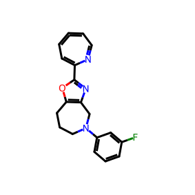 Fc1cccc(N2CCCc3oc(C4=CC=C=CC=N4)nc3C2)c1